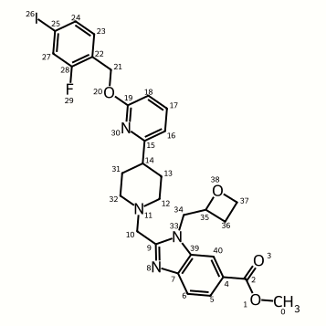 COC(=O)c1ccc2nc(CN3CCC(c4cccc(OCc5ccc(I)cc5F)n4)CC3)n(CC3CCO3)c2c1